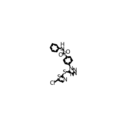 O=S(=O)(Nc1ccccc1)c1ccc(-n2nnnc2Sc2ncc(Cl)s2)cc1